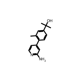 Cc1cc(C(C)(C)O)ccc1-c1ccnc(N)c1